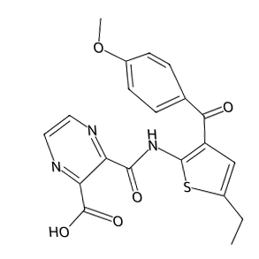 CCc1cc(C(=O)c2ccc(OC)cc2)c(NC(=O)c2nccnc2C(=O)O)s1